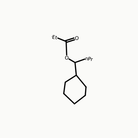 C[CH]C(=O)OC(CCC)C1CCCCC1